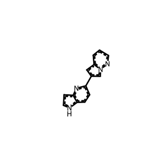 c1cnn2cc(-c3ccc4[nH]ccc4n3)cc2c1